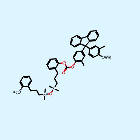 COc1ccc(C2(c3ccc(OC(=O)Oc4ccccc4CCC[Si](C)(C)O[Si](C)(C)CCCc4ccccc4OC(C)=O)c(C)c3)c3ccccc3-c3ccccc32)cc1C